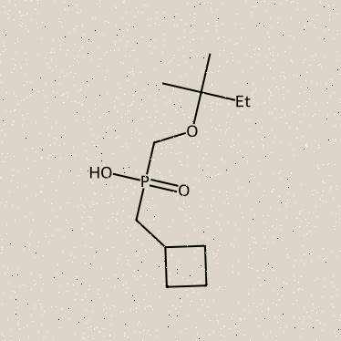 CCC(C)(C)OCP(=O)(O)CC1CCC1